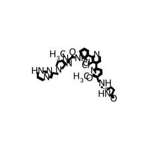 COc1nc(-c2ccnc(-c3cccc(NC(=O)c4nc5c(n4C)CCN(Cc4cn6c(n4)NCC=C6)C5)c3Cl)c2Cl)ccc1CNC[C@@H]1CCC(=O)N1